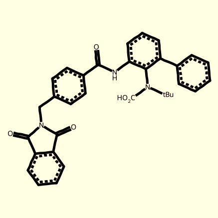 CC(C)(C)N(C(=O)O)c1c(NC(=O)c2ccc(CN3C(=O)c4ccccc4C3=O)cc2)cccc1-c1ccccc1